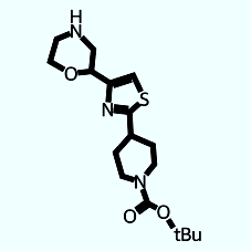 CC(C)(C)OC(=O)N1CCC(c2nc(C3CNCCO3)cs2)CC1